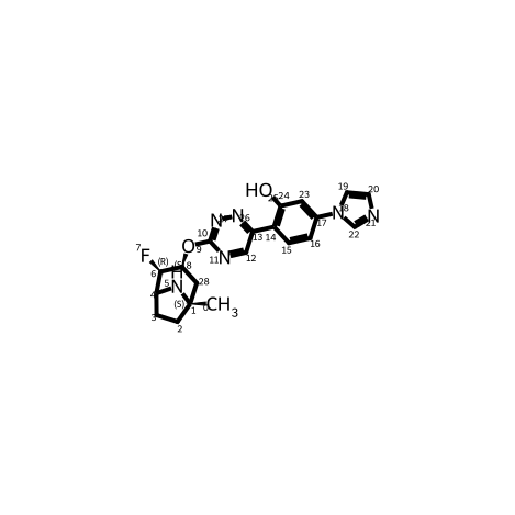 C[C@@]12CCC(N1)[C@@H](F)[C@@H](Oc1ncc(-c3ccc(-n4ccnc4)cc3O)nn1)C2